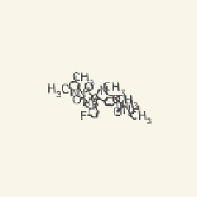 CCNC(=O)Nc1ccc(-c2sc3c(c2CN(C)CCOC)c(=O)n(-c2cc(C)cc(C)n2)c(=O)n3Cc2c(F)cccc2F)cc1